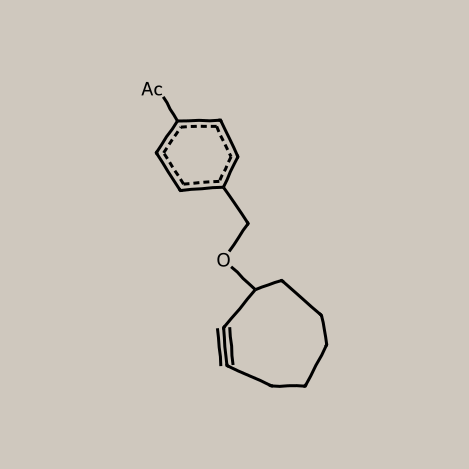 CC(=O)c1ccc(COC2C#CCCCCC2)cc1